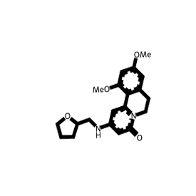 COc1cc2c(c(OC)c1)-c1cc(NCC3CCCO3)cc(=O)n1CC2